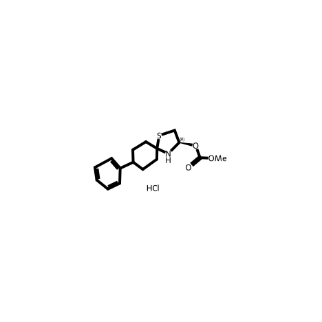 COC(=O)O[C@@H]1CSC2(CCC(c3ccccc3)CC2)N1.Cl